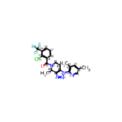 Cc1cnc(-n2nnc3c2CCN(C(=O)c2cccc(C(F)(F)F)c2Cl)C3C)c(C)c1